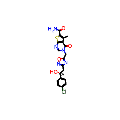 Cc1c(C(N)=O)sc2ncn(Cc3nc(C[C@H](O)c4ccc(Cl)cc4)no3)c(=O)c12